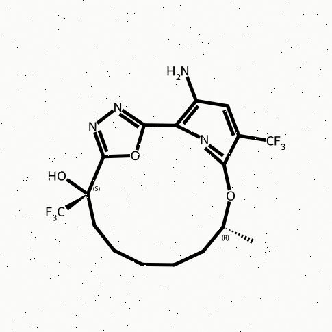 C[C@@H]1CCCCC[C@@](O)(C(F)(F)F)c2nnc(o2)-c2nc(c(C(F)(F)F)cc2N)O1